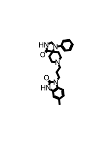 Cc1ccc2c(c1)[nH]c(=O)n2CCCN1CCC2(CC1)C(=O)NCN2c1ccccc1